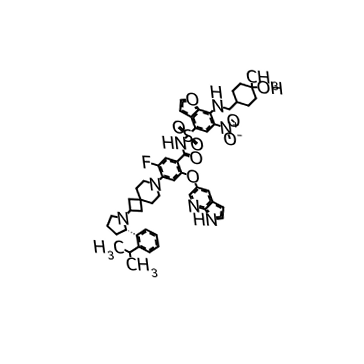 CC(C)c1ccccc1[C@@H]1CCCN1C1CC2(CCN(c3cc(Oc4cnc5[nH]ccc5c4)c(C(=O)NS(=O)(=O)c4cc([N+](=O)[O-])c(NCC5CCC(C)(O)CC5)c5occc45)cc3F)CC2)C1